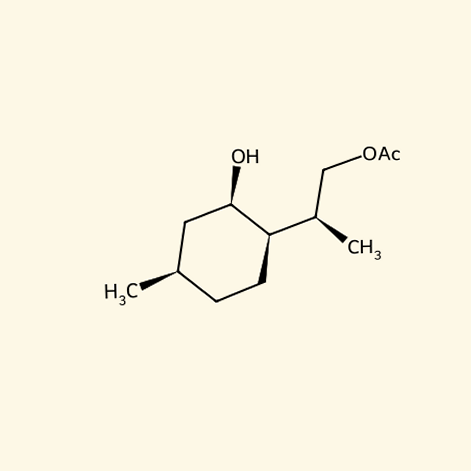 CC(=O)OC[C@@H](C)[C@H]1CC[C@@H](C)C[C@H]1O